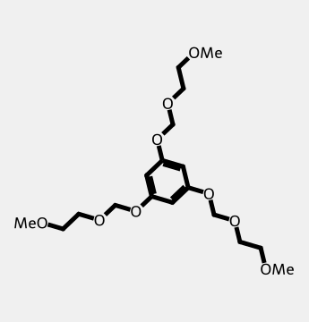 COCCOCOc1cc(OCOCCOC)cc(OCOCCOC)c1